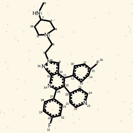 CNC1CCN(CCn2cc3c(-c4ccc(F)cc4)c(-c4ccncc4)c(-c4ccc(F)cc4)nc3n2)CC1